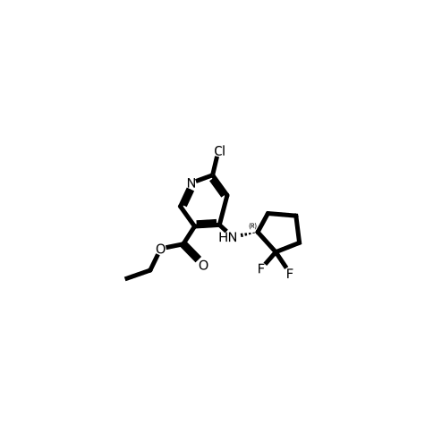 CCOC(=O)c1cnc(Cl)cc1N[C@@H]1CCCC1(F)F